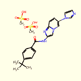 CC(C)(C)c1ccc(C(=O)Nc2cn3cc(-n4ccnc4)ccc3n2)cc1.CS(=O)(=O)O.CS(=O)(=O)O